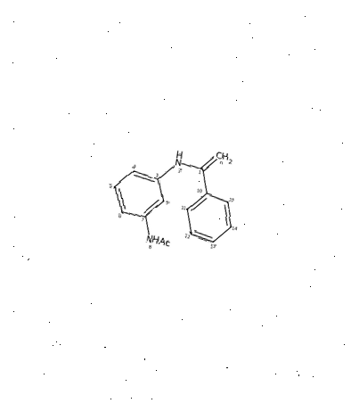 C=C(Nc1cccc(NC(C)=O)c1)c1ccccc1